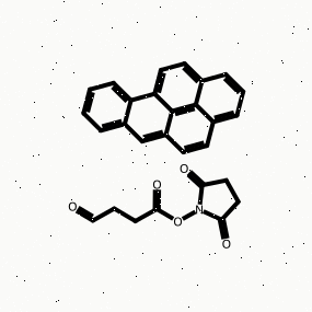 O=CCCC(=O)ON1C(=O)CCC1=O.c1ccc2c(c1)cc1ccc3cccc4ccc2c1c34